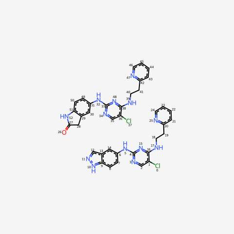 Clc1cnc(Nc2ccc3[nH]ncc3c2)nc1NCCc1ccccn1.O=C1Cc2cc(Nc3ncc(Cl)c(NCCc4ccccn4)n3)ccc2N1